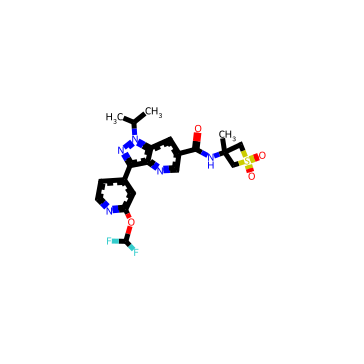 CC(C)n1nc(-c2ccnc(OC(F)F)c2)c2ncc(C(=O)NC3(C)CS(=O)(=O)C3)cc21